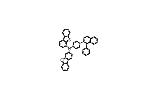 c1ccc(-c2c(-c3ccc(N(c4ccc5c(c4)oc4ccccc45)c4cccc5c4sc4ccccc45)cc3)ccc3ccccc23)cc1